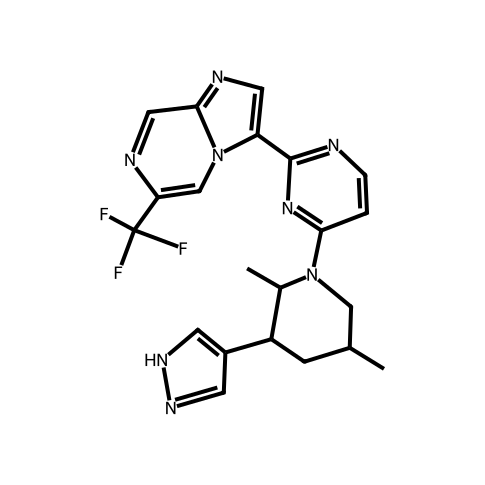 CC1CC(c2cn[nH]c2)C(C)N(c2ccnc(-c3cnc4cnc(C(F)(F)F)cn34)n2)C1